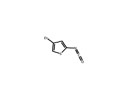 CCc1csc(N=C=O)c1